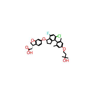 Cc1cc(OCCC(C)(C)O)cc(C)c1-c1c(Cl)cc(F)c2c1CC[C@H]2Oc1ccc2c(c1)OC[C@H]2CC(=O)O